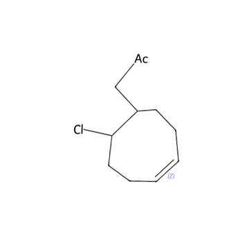 CC(=O)CC1CC/C=C\CCC1Cl